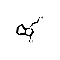 Cc1cn(CCS)c2ccccc12